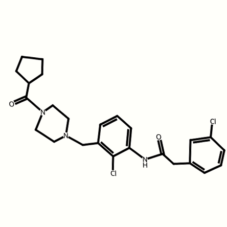 O=C(Cc1cccc(Cl)c1)Nc1cccc(CN2CCN(C(=O)C3CCCC3)CC2)c1Cl